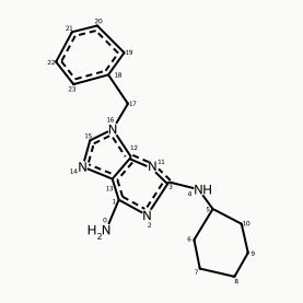 Nc1nc(NC2CCCCC2)nc2c1ncn2Cc1ccccc1